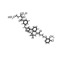 Cc1c(Cl)cccc1OCCCC(=O)N1C[C@@H]2C[C@@H]2c2c(-c3cnn(Cc4cccc(C(=O)NC(CCC(=O)O)C(=O)O)c4)c3)cccc21